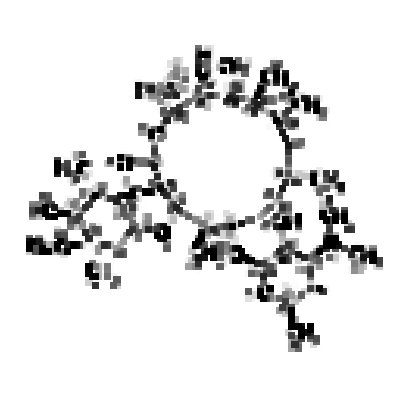 CC[C@H]1OC(=O)[C@H](C)[C@@H](OC2C[C@@](C)(OC)[C@@H](O)[C@H](C)O2)[C@H](C)[C@@H](O[C@@H]2O[C@H](C)C[C@H](N(C)C)[C@H]2O)CC[C@@H](C)CN(C)[C@H](C)[C@@H](O)[C@]1(C)O